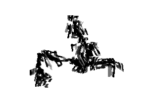 CC(C)(SSCCOC(=O)CCC(NC(=O)c1ccc(CCCc2cc3c(=O)[nH]c(N)nc3[nH]2)s1)C(=O)O)C(NC(=O)C(CCC(=O)NCC(O)C(O)C(O)C(O)CO)NC(O)C(CCC(=O)O)NC(=O)C(N)CCC(=O)NCC(O)C(O)C(O)C(O)CO)C(=O)O